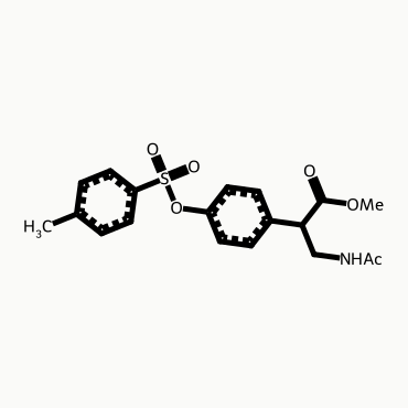 COC(=O)C(CNC(C)=O)c1ccc(OS(=O)(=O)c2ccc(C)cc2)cc1